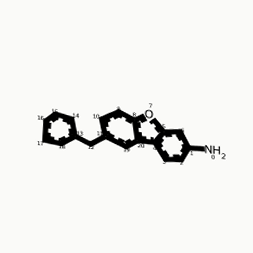 Nc1ccc2c(c1)oc1ccc(Cc3ccccc3)cc12